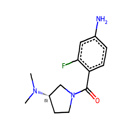 CN(C)[C@H]1CCN(C(=O)c2ccc(N)cc2F)C1